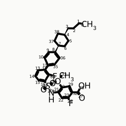 CCCC[C@H]1CC[C@@H](c2ccc(-c3cccc(S(=O)(=O)Nc4cc(F)c(C(=O)O)cc4OC)c3F)cc2)CC1